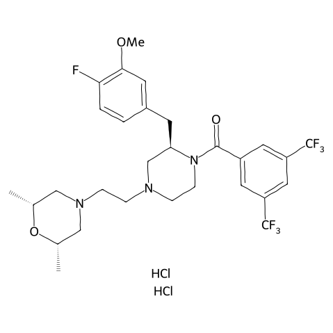 COc1cc(C[C@@H]2CN(CCN3C[C@@H](C)O[C@@H](C)C3)CCN2C(=O)c2cc(C(F)(F)F)cc(C(F)(F)F)c2)ccc1F.Cl.Cl